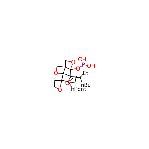 CCCCCC(CC(CC)CCCC)C1(C2(C3(C4(OP(O)O)CCO4)CCO3)CCO2)CCO1